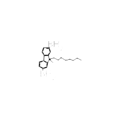 Bc1ccc2c(c1)C(C)(CCCCCCCC)c1cc(B)ccc1-2